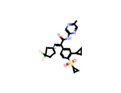 Cc1cnc(NC(=O)/C(=C/[C@H]2CCC(F)(F)C2)c2ccc(S(=O)(=O)C3CC3)c(C3CC3)c2)cn1